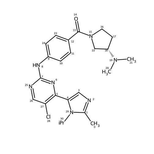 Cc1ncc(-c2nc(Nc3ccc(C(=O)N4CC[C@H](N(C)C)C4)cc3)ncc2Cl)n1C(C)C